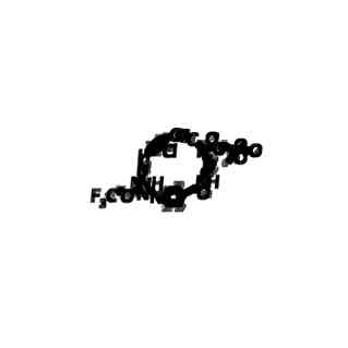 Cc1oc(=O)oc1COC(=O)N1CCCOc2ccc(cc2Cl)CNc2nc(nc(OCC(F)(F)F)n2)Nc2ccc(cc2)C(=O)NCC(C)(C)C1